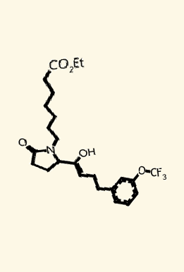 CCOC(=O)CCCCCCN1C(=O)CCC1/C(O)=C/CCc1cccc(OC(F)(F)F)c1